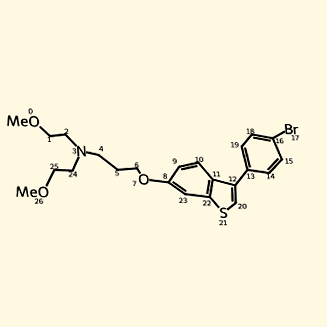 COCCN(CCCOc1ccc2c(-c3ccc(Br)cc3)csc2c1)CCOC